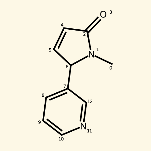 CN1C(=O)C=CC1c1cccnc1